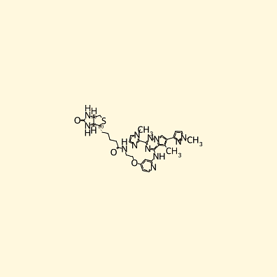 Cc1c(-c2ccn(C)n2)cn2nc(-c3nccn3C)nc(Nc3cc(OCCNC(=O)CCCC[C@H]4SC[C@H]5NC(=O)N[C@H]54)ccn3)c12